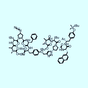 COC(=O)[C@H](Cc1ccc(OCc2cn([C@H]3C[C@@H](C(=O)N[C@@H](Cc4ccc5ccccc5c4)C(=O)N[C@@H](Cc4ccc(O[Si](C)(C)C(C)(C)C)cc4)C(C)=O)N(C(=O)[C@@H](NC(=O)C(C)N(C)C(=O)OC(C)(C)C)C(C)(C)C)C3)nn2)cc1)NC(=O)[C@H](Cc1ccccc1)NC(=O)[C@@H]1C[C@H](N=[N+]=[N-])CN1C(=O)C(NC(=O)C(C)N(C)C(=O)OC(C)(C)C)C(C)(C)C